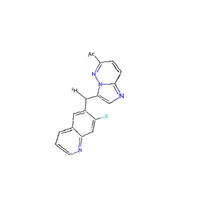 [2H]C(c1cc2cccnc2cc1F)c1cnc2ccc(C(C)=O)nn12